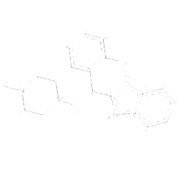 CN1CCC(OC(c2nc3ccccc3[nH]2)c2ccccc2Br)CC1